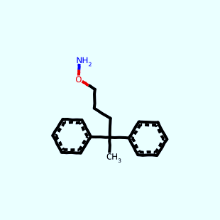 CC(CCCON)(c1ccccc1)c1ccccc1